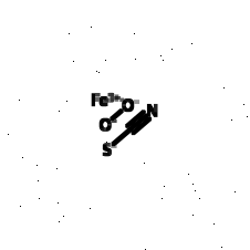 N#C[S-].[Fe+3].[O-][O-]